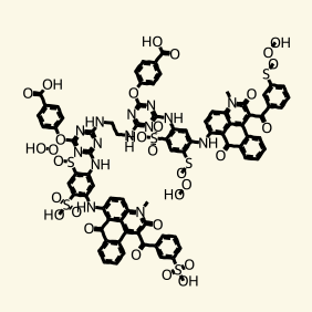 Cn1c(=O)c(C(=O)c2cccc(SOOO)c2)c2c3c(c(Nc4cc(Nc5nc(NCCNc6nc(Nc7cc(Nc8ccc9c%10c8C(=O)c8ccccc8-c%10c(C(=O)c8cccc(S(=O)(=O)O)c8)c(=O)n9C)c(S(=O)(=O)O)cc7SOOO)nc(Oc7ccc(C(=O)O)cc7)n6)nc(Oc6ccc(C(=O)O)cc6)n5)c(S(=O)(=O)O)cc4SOOO)ccc31)C(=O)c1ccccc1-2